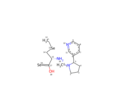 CN1CCCC1c1cccnc1.C[Se]C[C@H](N)C(O)=[Se]